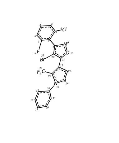 Fc1cccc(Cl)c1-c1noc(-c2cnn(-c3ccccc3)c2C(F)(F)F)c1Br